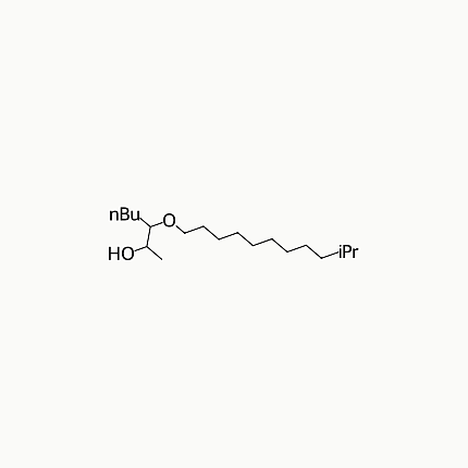 CCCCC(OCCCCCCCCCC(C)C)C(C)O